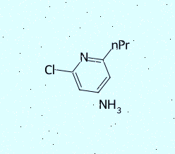 CCCc1cccc(Cl)n1.N